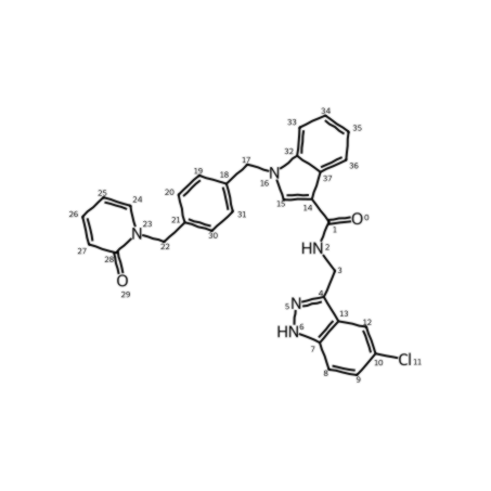 O=C(NCc1n[nH]c2ccc(Cl)cc12)c1cn(Cc2ccc(Cn3ccccc3=O)cc2)c2ccccc12